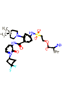 CC(C)[C@H](N)C(=O)OCCS(=O)(=O)Nc1ccc(C(=O)Nc2cccn(C3CC(F)(F)C3)c2=O)c(N2CC[Si](C)(C)CC2)c1